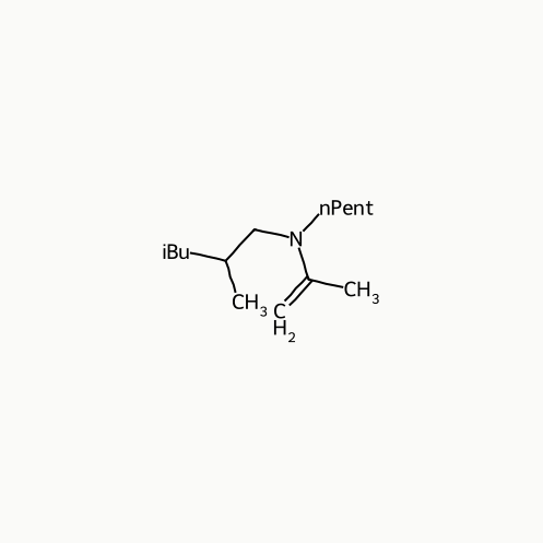 C=C(C)N(CCCCC)CC(C)C(C)CC